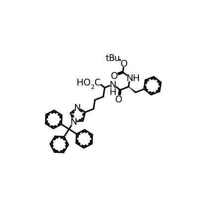 CC(C)(C)OC(=O)N[C@@H](Cc1ccccc1)C(=O)NC(CCCc1cn(C(c2ccccc2)(c2ccccc2)c2ccccc2)cn1)C(=O)O